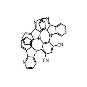 N#Cc1cc(C#N)c(-n2c3ccccc3c3ncccc32)c(-n2c3ccccc3c3ncccc32)c1-n1c2ccccc2c2ncccc21